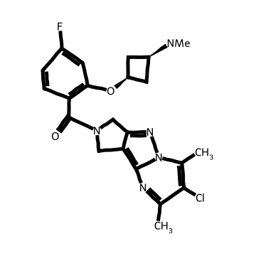 CN[C@H]1C[C@@H](Oc2cc(F)ccc2C(=O)N2Cc3nn4c(C)c(Cl)c(C)nc4c3C2)C1